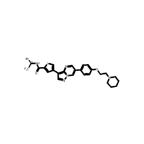 CC(C)[C@@H](NC(=O)c1cc(-c2cnn3cc(-c4ccc(OCCN5CCCCC5)cc4)cnc23)cs1)C(F)(F)F